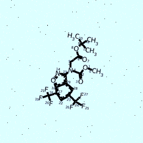 COC(=O)N(CC(=O)OC(C)(C)C)c1noc2c(C(F)(F)F)cc(C(F)(F)F)cc12